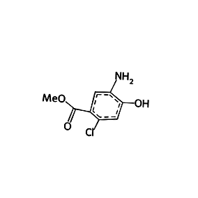 COC(=O)c1cc(N)c(O)cc1Cl